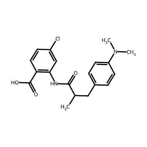 CC(Cc1ccc(N(C)C)cc1)C(=O)Nc1cc(Cl)ccc1C(=O)O